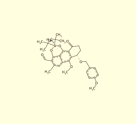 COc1ccc(CO[C@H]2CCC(=O)c3c2c(OC)c2cc(C)c(C=O)c4c2c3O[Si](C(C)(C)C)(C(C)(C)C)O4)cc1